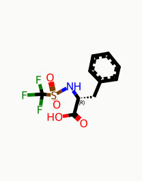 O=C(O)[C@@H](Cc1ccccc1)NS(=O)(=O)C(F)(F)F